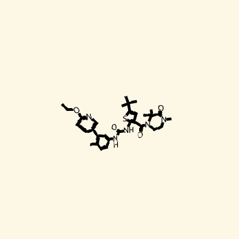 CCOc1ccc(-c2cc(NC(=O)Nc3sc(C(C)(C)C)cc3C(=O)N3CCN(C)C(=O)C3(C)C)ccc2C)cn1